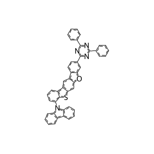 c1ccc(-c2nc(-c3ccccc3)nc(-c3ccc4c(c3)oc3cc5sc6c(-n7c8ccccc8c8ccccc87)cccc6c5cc34)n2)cc1